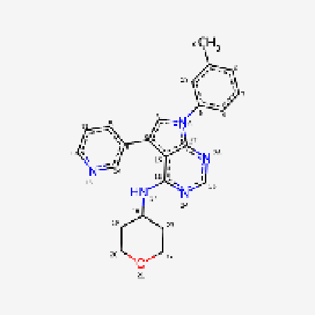 Cc1cccc(-n2cc(-c3cccnc3)c3c(NC4CCOCC4)ncnc32)c1